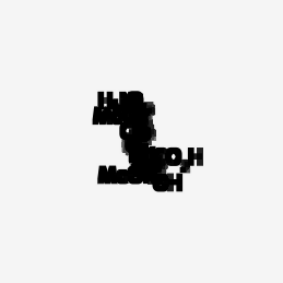 COc1cc(Cn2ncc3c(-c4cccc(-c5cc(F)c(CNC(N)=O)c(OC)c5)c4Cl)cccc32)c(Cl)cc1CN(CCO)[C@H]1CC[C@H](C(=O)O)CC1